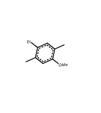 CCc1cc(C)c(OC)cc1C